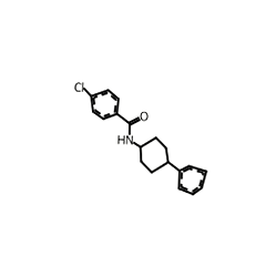 O=C(NC1CCC(c2ccccc2)CC1)c1ccc(Cl)cc1